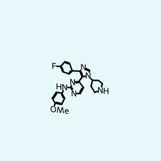 COc1ccc(Nc2nccc(-c3c(-c4ccc(F)cc4)ncn3C3CCNCC3)n2)cc1